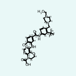 CCN1CCN(Cc2ccc(NC(=O)c3ccc(Cl)c(Nc4ncnc5c4OCCN5C(=O)O)c3)cc2C(F)(F)F)CC1